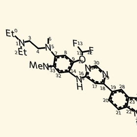 CCN(CC)CCN(C)c1cc(OC(F)F)c(Nc2cc(-c3ccc4c(cnn4CC)c3)ncn2)cc1NC